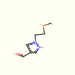 CSCCn1cc(C=O)cn1